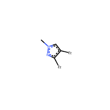 CCc1cn(C)nc1CC